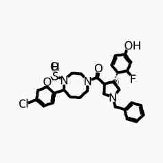 O=C(C1CN(Cc2ccccc2)C[C@H]1C1C=CC(O)=CC1F)N1CCCC(C2=CC=C(Cl)CC2)N([SH](=O)=O)CC1